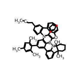 CCCCc1ccc(N2c3cc(-c4c(C)cc(C)cc4C)cc4c3B(c3oc5ccccc5c32)N2c3c-4cccc3C3(C)CCCCC23C)c(-c2ccccc2)c1